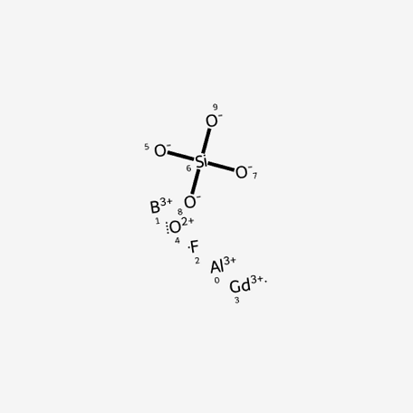 [Al+3].[B+3].[F].[Gd+3].[O+2].[O-][Si]([O-])([O-])[O-]